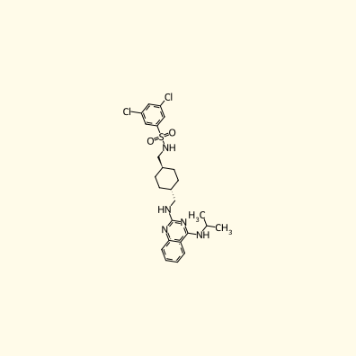 CC(C)Nc1nc(NC[C@H]2CC[C@H](CNS(=O)(=O)c3cc(Cl)cc(Cl)c3)CC2)nc2ccccc12